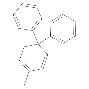 CC1=CCC(c2ccccc2)(c2ccccc2)C=C1